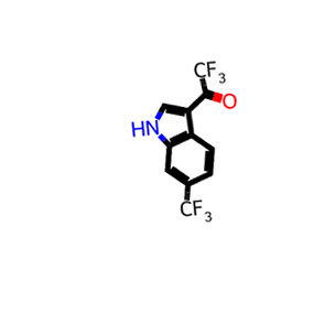 O=C(c1c[nH]c2cc(C(F)(F)F)ccc12)C(F)(F)F